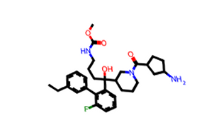 CCc1cccc(-c2c(F)cccc2C(O)(CCCNC(=O)OC)C2CCCN(C(=O)C3CCC(N)C3)C2)c1